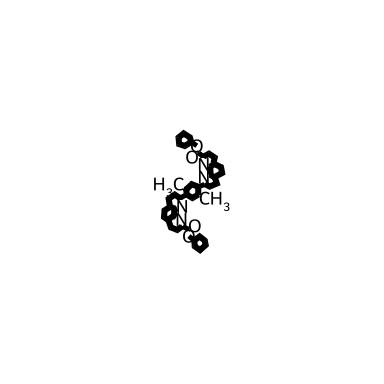 Cc1cc(-c2ccc3ccc4ccc(C(=O)Oc5ccccc5)nc4c3n2)c(C)cc1-c1ccc2ccc3ccc(C(=O)Oc4ccccc4)nc3c2n1